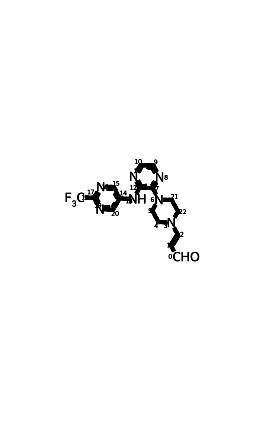 O=CC=CN1CCN(c2nccnc2Nc2cnc(C(F)(F)F)nc2)CC1